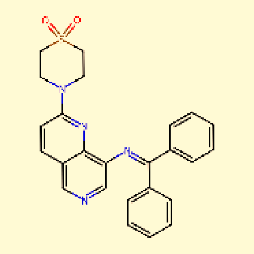 O=S1(=O)CCN(c2ccc3cncc(N=C(c4ccccc4)c4ccccc4)c3n2)CC1